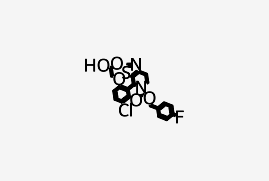 O=C(O)COc1ccc(Cl)cc1C1c2scnc2CCN1C(=O)OCc1ccc(F)cc1